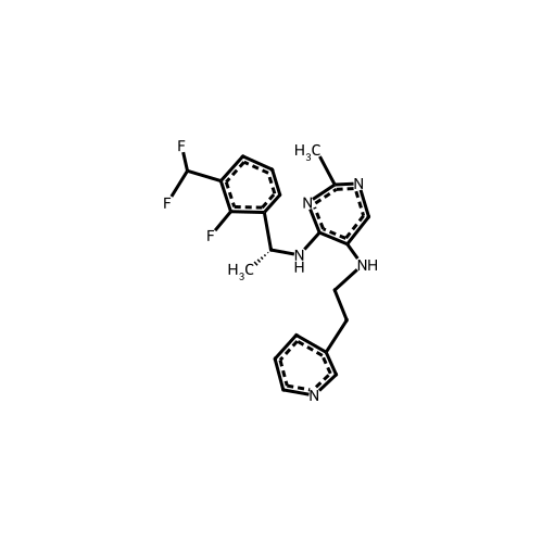 Cc1ncc(NCCc2cccnc2)c(N[C@H](C)c2cccc(C(F)F)c2F)n1